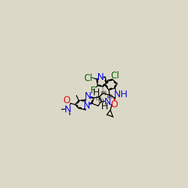 Cc1c(C(=O)N(C)C)ccn2c3c(nc12)[C@@H]1[C@H](C3)N(CC2CC2)[C@@]2(C(=O)Nc3cc(Cl)ccc32)[C@H]1c1ccnc(Cl)c1F